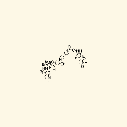 CCc1cc(Nc2ncc(Br)c(Nc3ccc4nc(C)ccc4c3P(C)(C)=O)n2)c(OC)cc1N1CCC(N2CCN(C(=O)[C@H]3C[C@H](Nc4cc(F)c(C5CCC(=O)NC5=O)c(F)c4)C3)CC2)CC1